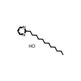 CCCCCCCCCCCCc1ncccn1.Cl